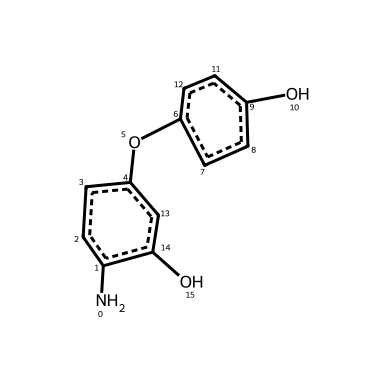 Nc1ccc(Oc2ccc(O)cc2)cc1O